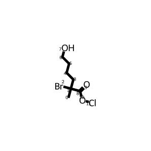 CC(Br)(CCCCO)C(=O)OCl